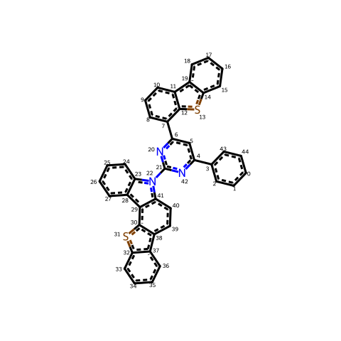 c1ccc(-c2cc(-c3cccc4c3sc3ccccc34)nc(-n3c4ccccc4c4c5sc6ccccc6c5ccc43)n2)cc1